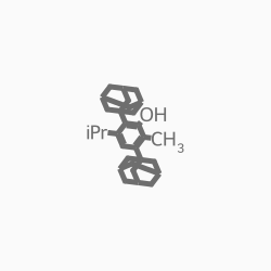 Cc1c(C23CC4CC(CC(C4)C2)C3)cc(C(C)C)c(C23CC4CC(CC(C4)C2)C3)c1O